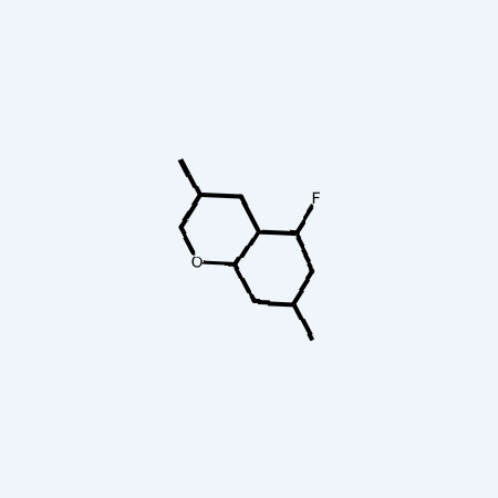 CC1CC(F)C2CC(C)COC2C1